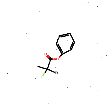 CCC(C)(F)C(=O)Oc1ccccc1